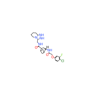 O=C(COc1ccc(Cl)c(F)c1)N[C@@H]1CC(C(=O)NCC2NNC3CCCCN32)C2CC1C2